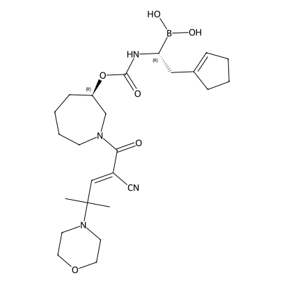 CC(C)(C=C(C#N)C(=O)N1CCCC[C@@H](OC(=O)N[C@@H](CC2=CCCC2)B(O)O)C1)N1CCOCC1